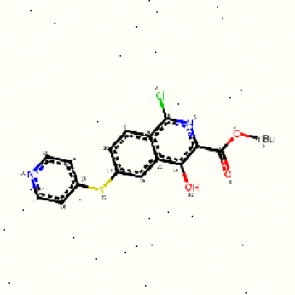 CCCCOC(=O)c1nc(Cl)c2ccc(Sc3ccncc3)cc2c1O